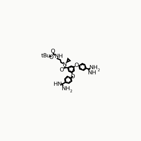 CC(C)(C)OC(=O)NCCCN(C(=O)c1cc(Oc2ccc(C(=N)N)cc2)cc(Oc2ccc(C(=N)N)cc2)c1)C1CC1